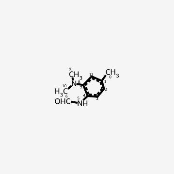 Cc1ccc(NC=O)c(N(C)C)c1